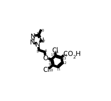 Cc1nnn(CCOc2c(Cl)ccc(C(=O)O)c2Cl)n1